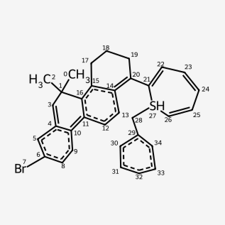 CC1(C)C=c2cc(Br)ccc2=c2ccc3c(c21)CCCC=3C1=CC=CC=C[SH]1Cc1ccccc1